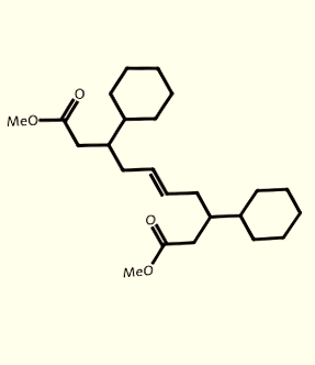 COC(=O)CC(C/C=C/CC(CC(=O)OC)C1CCCCC1)C1CCCCC1